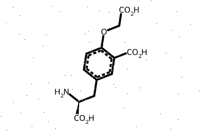 N[C@@H](Cc1ccc(OCC(=O)O)c(C(=O)O)c1)C(=O)O